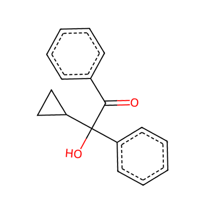 O=C(c1ccccc1)C(O)(c1ccccc1)C1CC1